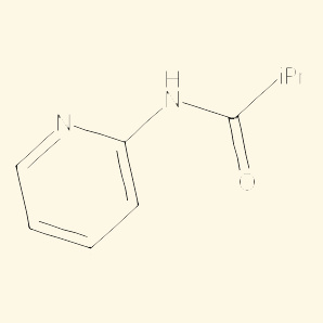 CC(C)C(=O)Nc1c[c]ccn1